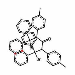 Cc1ccc(C(C(=O)C(c2ccc(C)cc2)C(Br)(c2ccccc2)c2ccccc2)C(Br)(c2ccccc2)c2ccccc2)cc1